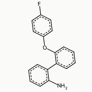 Nc1ccccc1-c1ccccc1Oc1ccc(F)cc1